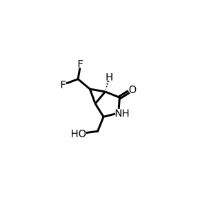 O=C1NC(CO)C2C(C(F)F)[C@@H]12